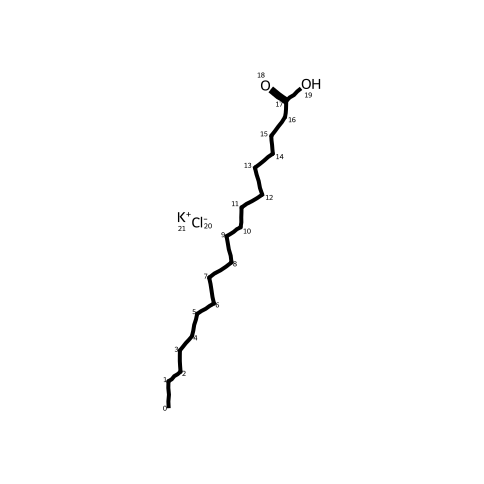 CCCCCCCCCCCCCCCCCC(=O)O.[Cl-].[K+]